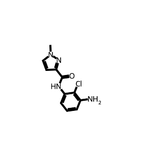 Cn1ccc(C(=O)Nc2cccc(N)c2Cl)n1